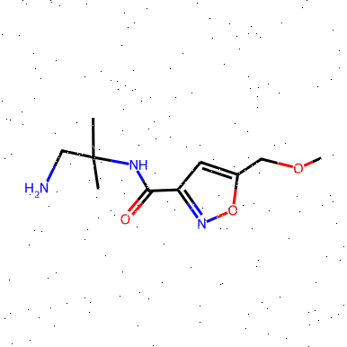 COCc1cc(C(=O)NC(C)(C)CN)no1